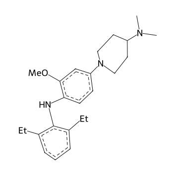 CCc1cccc(CC)c1Nc1ccc(N2CCC(N(C)C)CC2)cc1OC